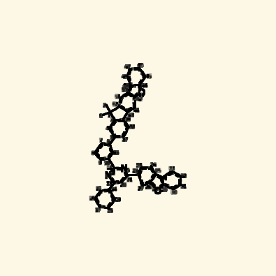 CC1(C)c2cc(-c3cccc(-c4nc(-c5ccccc5)cc(-c5ccc6c(c5)oc5ccccc56)n4)c3)ccc2-c2cc3oc4ccccc4c3cc21